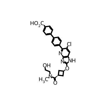 CN(CCO)C(=O)[C@H]1C[C@@H](Oc2nc3nc(-c4ccc(-c5ccc(C(=O)O)cc5)cc4)c(Cl)cc3[nH]2)C1